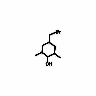 CC(C)CC1CC(C)C(O)C(C)C1